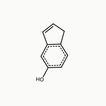 Oc1ccc2c(c1)[C]=CC2